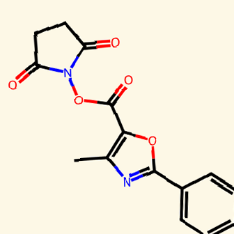 Cc1nc(-c2ccccc2)oc1C(=O)ON1C(=O)CCC1=O